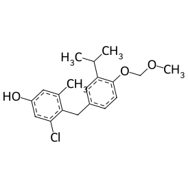 COCOc1ccc(Cc2c(C)cc(O)cc2Cl)cc1C(C)C